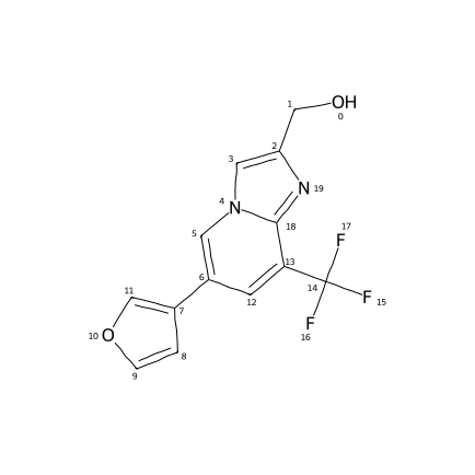 OCc1cn2cc(-c3ccoc3)cc(C(F)(F)F)c2n1